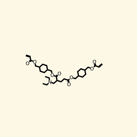 C=CC(=O)OCC1CCC(COC(=O)CCC(CN(CC)CC)C(=O)OCC2CCC(COC(=O)C=C)CC2)CC1